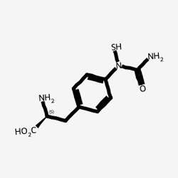 NC(=O)N(S)c1ccc(C[C@H](N)C(=O)O)cc1